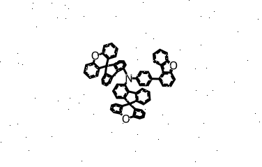 c1ccc2c(c1)Oc1ccccc1C21c2ccccc2-c2c(N(c3ccc(-c4cccc5oc6ccccc6c45)cc3)c3cccc4c3-c3ccccc3C43c4ccccc4Oc4ccccc43)cccc21